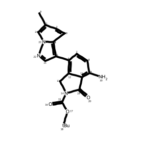 Cc1ccc2c(-c3ccc(N)c4c3CN(C(=O)OC(C)(C)C)C4=O)cnn2c1